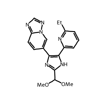 CCc1cccc(-c2[nH]c(C(OC)OC)nc2-c2ccc3ncnn3c2)n1